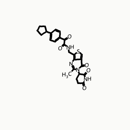 Cc1nc2c(CNC(=O)C(=O)c3ccc(C4CCCC4)cc3)scc2c(=O)n1C1CCC(=O)NC1=O